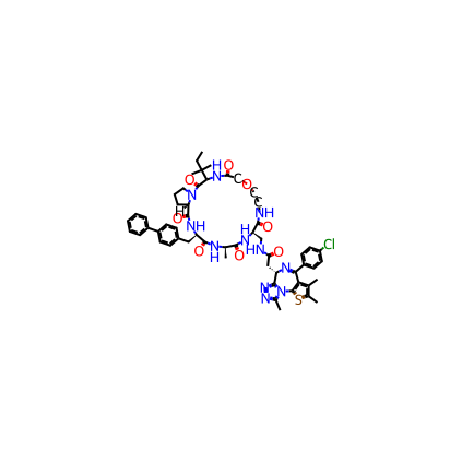 CCC(C)(C)C1NC(=O)COCCNC(=O)[C@@H](CNC(=O)C[C@@H]2N=C(c3ccc(Cl)cc3)c3c(sc(C)c3C)-n3c(C)nnc32)NC(=O)[C@@H](C)NC(=O)[C@@H](Cc2ccc(-c3ccccc3)cc2)NC(=O)[C@@H]2CCCN2C1=O